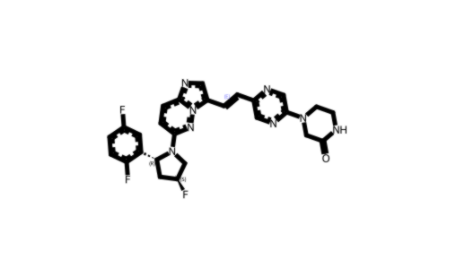 O=C1CN(c2cnc(/C=C/c3cnc4ccc(N5C[C@@H](F)C[C@@H]5c5cc(F)ccc5F)nn34)cn2)CCN1